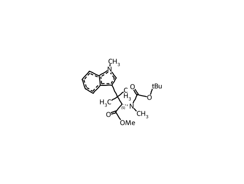 COC(=O)[C@@H](N(C)C(=O)OC(C)(C)C)C(C)(C)c1cn(C)c2ccccc12